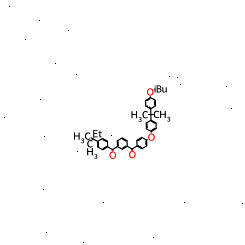 CCC(C)Oc1ccc(C(C)(C)c2ccc(Oc3ccc(C(=O)c4cccc(C(=O)c5ccc(C(C)(C)CC)cc5)c4)cc3)cc2)cc1